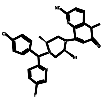 CC[C@H]1CN(C(c2ccc(Cl)cc2)c2ccc(F)cn2)[C@H](C)CN1c1cc(=O)n(C)c2ccc(C#N)nc12